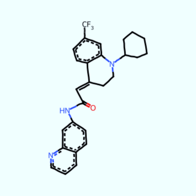 O=C(C=C1CCN(C2CCCCC2)c2cc(C(F)(F)F)ccc21)Nc1ccc2cccnc2c1